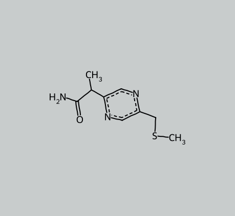 CSCc1cnc(C(C)C(N)=O)cn1